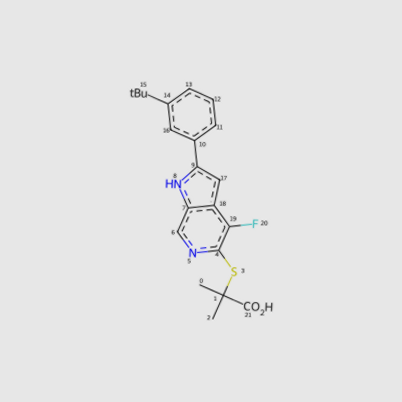 CC(C)(Sc1ncc2[nH]c(-c3cccc(C(C)(C)C)c3)cc2c1F)C(=O)O